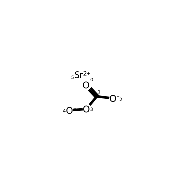 O=C([O-])O[O-].[Sr+2]